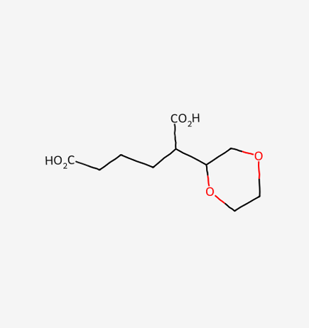 O=C(O)CCCC(C(=O)O)C1COCCO1